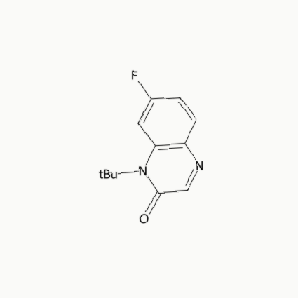 CC(C)(C)n1c(=O)cnc2ccc(F)cc21